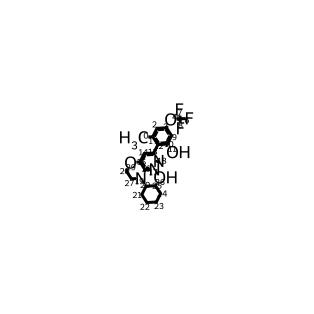 Cc1cc(OC(F)(F)F)cc(O)c1-c1cc2c(nn1)N([C@@H]1CCCC[C@H]1O)CCO2